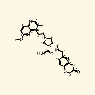 COc1ccc2ncc(F)c(CCN3C[C@H](CNCc4ccc5c(n4)NC(=O)CO5)[C@H](C(N)=O)C3)c2n1